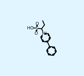 CCC([n+]1ccc(-c2ccccc2)cc1)S(=O)(=O)O